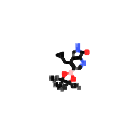 CC1(C)OB(c2cnc3c(c2CC2CC2)CNC3=O)OC1(C)C